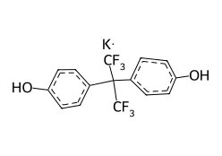 Oc1ccc(C(c2ccc(O)cc2)(C(F)(F)F)C(F)(F)F)cc1.[K]